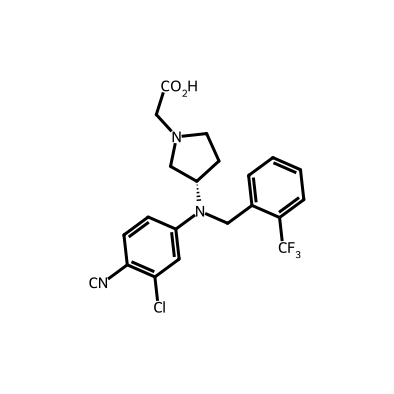 [C-]#[N+]c1ccc(N(Cc2ccccc2C(F)(F)F)[C@H]2CCN(CC(=O)O)C2)cc1Cl